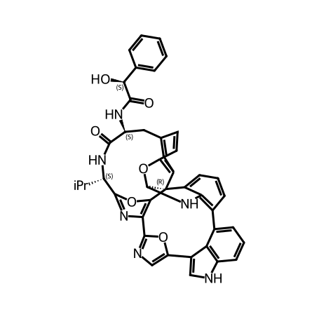 CC(C)[C@@H]1NC(=O)[C@@H](NC(=O)[C@@H](O)c2ccccc2)Cc2ccc3c(c2)[C@]24c5cccc(c5NC2O3)-c2cccc3[nH]cc(c23)-c2cnc(o2)-c2nc1oc24